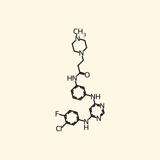 CN1CCN(CCC(=O)Nc2cccc(Nc3cc(Nc4ccc(F)c(Cl)c4)ncn3)c2)CC1